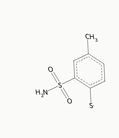 Cc1ccc([S])c(S(N)(=O)=O)c1